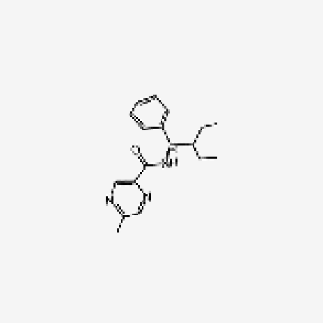 CCC(CC)[C@@H](NC(=O)c1cnc(C)cn1)c1ccccc1